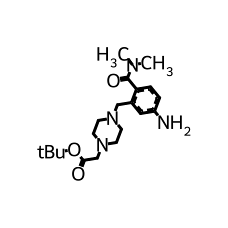 CN(C)C(=O)c1ccc(N)cc1CN1CCN(CC(=O)OC(C)(C)C)CC1